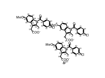 COc1ccc2c(c1)c(CC(=O)[O-])c(C)n2C(=O)c1ccc(Cl)cc1.COc1ccc2c(c1)c(CC(=O)[O-])c(C)n2C(=O)c1ccc(Cl)cc1.COc1ccc2c(c1)c(CC(=O)[O-])c(C)n2C(=O)c1ccc(Cl)cc1.[Al+3]